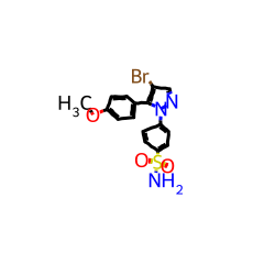 COc1ccc(-c2c(Br)cnn2-c2ccc(S(N)(=O)=O)cc2)cc1